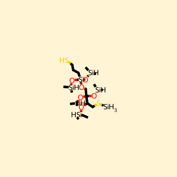 C[SiH](C)OC(CS[SiH3])C(CO[Si](CCCS)(O[SiH](C)C)O[SiH](C)C)(O[SiH](C)C)O[SiH](C)C